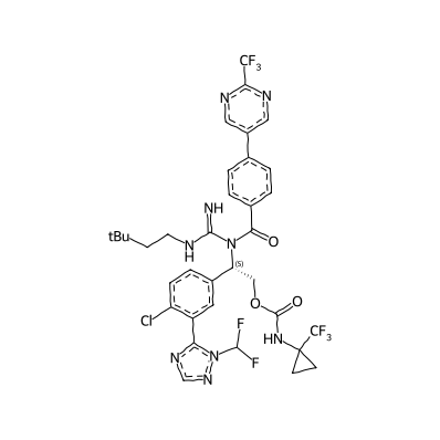 CC(C)(C)CCNC(=N)N(C(=O)c1ccc(-c2cnc(C(F)(F)F)nc2)cc1)[C@H](COC(=O)NC1(C(F)(F)F)CC1)c1ccc(Cl)c(-c2ncnn2C(F)F)c1